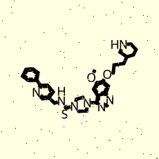 COc1cc2c(N3CCN(C(=S)NCc4ccc(-c5ccccc5)nc4)CC3)ncnc2cc1OCCCC1CCCNC1